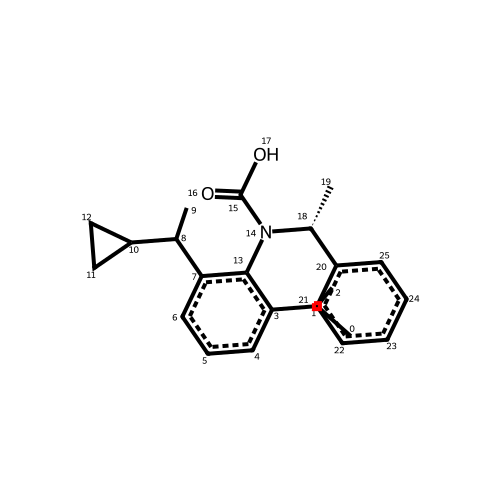 CC(C)c1cccc(C(C)C2CC2)c1N(C(=O)O)[C@H](C)c1ccccc1